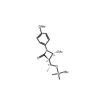 COc1ccc(N2C(=O)[C@H]([C@@H](C)O[Si](C)(C)C(C)(C)C)[C@H]2OC(C)=O)cc1